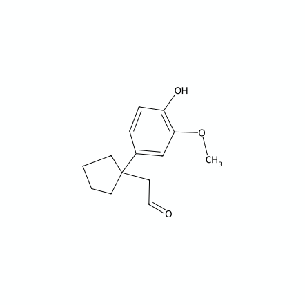 COc1cc(C2(CC=O)CCCC2)ccc1O